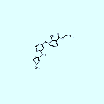 CCOC(=O)c1cccc(Oc2ccnc(Nc3nc(C)cs3)c2)c1C